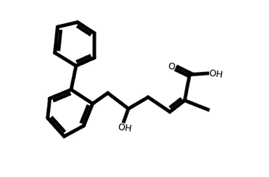 CC(=CCC(O)Cc1ccccc1-c1ccccc1)C(=O)O